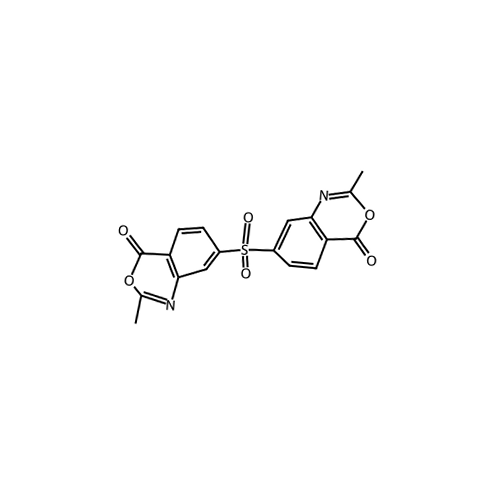 Cc1nc2cc(S(=O)(=O)c3ccc4c(=O)oc(C)nc4c3)ccc2c(=O)o1